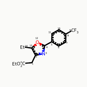 CCOC(=O)Cc1nc(-c2ccc(C(F)(F)F)cc2)oc1CC